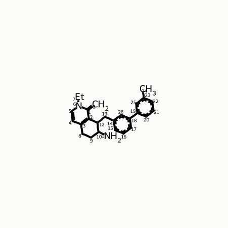 C=C1C2=C(C=CN1CC)CCC(N)C2Cc1cccc(-c2cccc(C)c2)c1